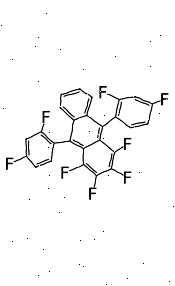 Fc1ccc(-c2c3ccccc3c(-c3ccc(F)cc3F)c3c(F)c(F)c(F)c(F)c23)c(F)c1